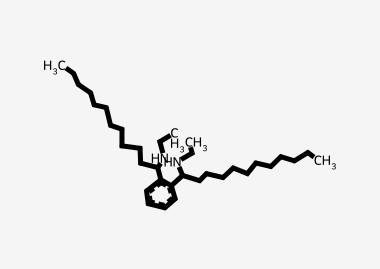 CCCCCCCCCCCC(NCC)c1ccccc1C(CCCCCCCCCCC)NCC